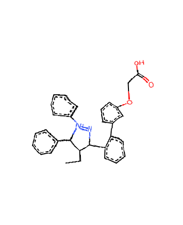 CCC1C(c2ccccc2-c2cccc(OCC(=O)O)c2)N=[N+](c2ccccc2)C1c1ccccc1